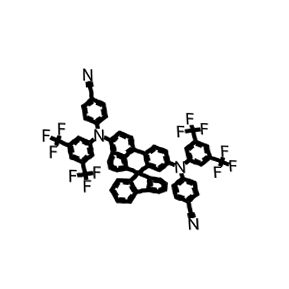 N#Cc1ccc(N(c2cc(C(F)(F)F)cc(C(F)(F)F)c2)c2ccc3c(c2)C2(c4ccccc4-c4ccccc42)c2cccc4c(N(c5ccc(C#N)cc5)c5cc(C(F)(F)F)cc(C(F)(F)F)c5)ccc-3c24)cc1